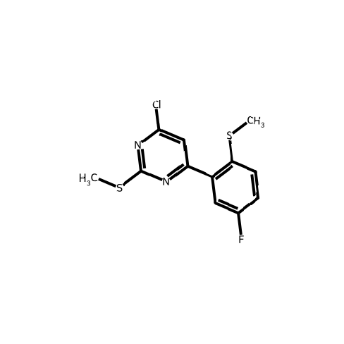 CSc1nc(Cl)cc(-c2cc(F)ccc2SC)n1